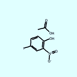 CC(=O)O.O=[N+]([O-])c1cc(I)ccc1O